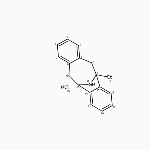 CCC12Cc3ccccc3CC(N1)c1ccccc12.Cl